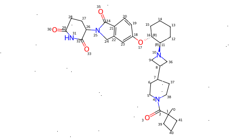 CC1(C(=O)N2CCC(C3CN([C@@H]4CCCC[C@H]4Oc4ccc5c(c4)CN(C4CCC(=O)NC4=O)C5=O)C3)CC2)CCC1